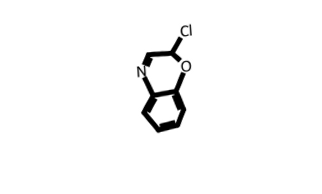 ClC1C=Nc2ccccc2O1